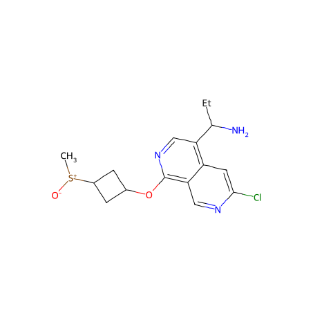 CCC(N)c1cnc(OC2CC([S+](C)[O-])C2)c2cnc(Cl)cc12